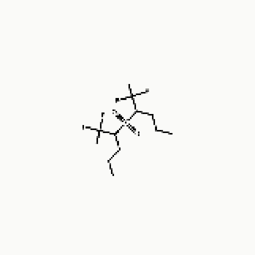 CCCC(C(F)(F)F)S(=O)(=O)C(CCC)C(F)(F)F